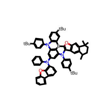 CC1CCC(C)(C)c2cc3oc4c(c3cc21)N(c1ccc(C(C)(C)C)cc1)c1cc(N(c2ccccc2)c2cccc3c2oc2ccccc23)cc2c1B4c1cc(C(C)(C)C)ccc1N2c1ccc(C(C)(C)C)cc1